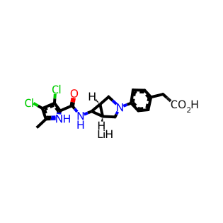 Cc1[nH]c(C(=O)NC2[C@H]3CN(c4ccc(CC(=O)O)cc4)C[C@@H]23)c(Cl)c1Cl.[LiH]